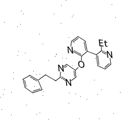 CCc1ncccc1-c1cccnc1Oc1cnc(CCc2ccccc2)nc1